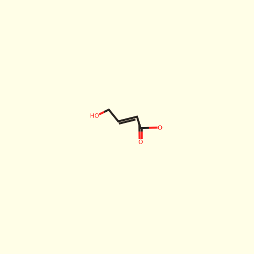 [O]C(=O)C=CCO